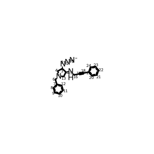 [N-]=[N+]=N[C@@H]1CN(Cc2ccccc2)C[C@@H]1NCC#Cc1ccccc1